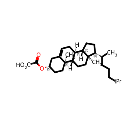 CC(C)CCCC(C)[C@H]1CC[C@H]2[C@@H]3CC=C4C[C@@H](OC(=O)C(=O)O)CC[C@]4(C)[C@H]3CC[C@]12C